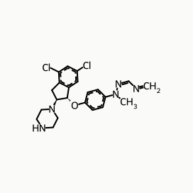 C=N/C=N\N(C)c1ccc(O[C@H]2c3cc(Cl)cc(Cl)c3C[C@@H]2N2CCNCC2)cc1